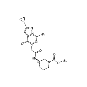 CC(C)c1nn(CC(=O)N[C@@H]2CCCN(C(=O)OC(C)(C)C)C2)c(=O)c2cc(C3CC3)nn12